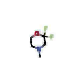 CN1CCOC(F)(F)C1